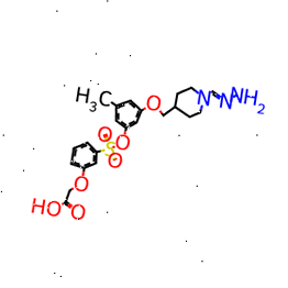 Cc1cc(OCC2CCN(C=NN)CC2)cc(OS(=O)(=O)c2cccc(OCC(=O)O)c2)c1